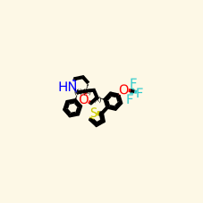 FC(F)(F)Oc1ccc(-c2cccs2)c([C@@H]2CO[C@]3(CCCN[C@H]3c3ccccc3)C2)c1